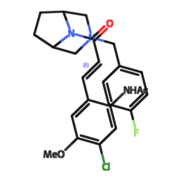 COc1cc(/C=C/C(=O)N2C3CCC2CN(Cc2ccc(F)cc2)C3)c(NC(C)=O)cc1Cl